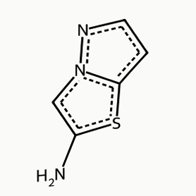 Nc1cn2nccc2s1